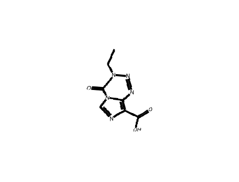 CCn1nnc2c(C(=O)O)ncn2c1=O